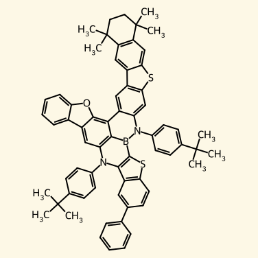 CC(C)(C)c1ccc(N2B3c4sc5ccc(-c6ccccc6)cc5c4N(c4ccc(C(C)(C)C)cc4)c4cc5c(oc6ccccc65)c(c43)-c3cc4c(cc32)sc2cc3c(cc24)C(C)(C)CCC3(C)C)cc1